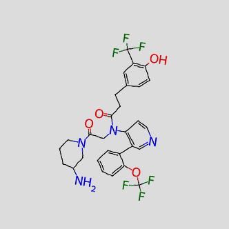 NC1CCCN(C(=O)CN(C(=O)CCc2ccc(O)c(C(F)(F)F)c2)c2ccncc2-c2ccccc2OC(F)(F)F)C1